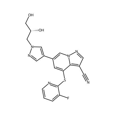 N#Cc1cnn2cc(-c3cnn(C[C@@H](O)CO)c3)cc(Sc3ncccc3F)c12